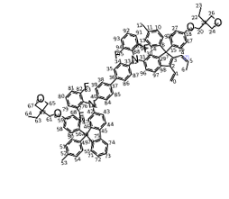 C=CC1=C(/C=C\C)C(c2ccc(C)cc2)(c2ccc(OCC3(CC)COC3)cc2)c2cc(N(c3ccc(-c4ccc(N(c5ccc6c(c5)C(c5ccc(C)cc5)(c5ccc(OCC7(CC)COC7)cc5)c5ccccc5-6)c5c(F)cccc5F)cc4)cc3)c3c(F)cccc3F)ccc21